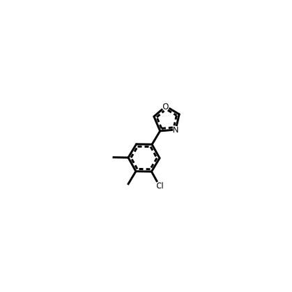 Cc1cc(-c2cocn2)cc(Cl)c1C